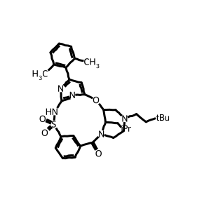 Cc1cccc(C)c1-c1cc2nc(n1)NS(=O)(=O)c1cccc(c1)C(=O)N1CCN(CCC(C)(C)C)CC(O2)C1CC(C)C